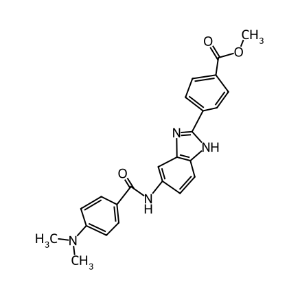 COC(=O)c1ccc(-c2nc3cc(NC(=O)c4ccc(N(C)C)cc4)ccc3[nH]2)cc1